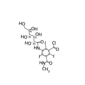 CNC(=O)c1c(I)c(NC(=O)[C@H](O)[C@@H](O)[C@H](O)[C@H](O)CO)c(I)c(C(=O)Cl)c1I